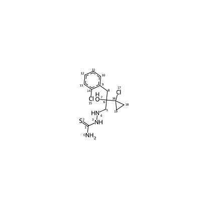 NC(=S)NNCC(O)(Cc1ccccc1Cl)C1(Cl)CC1